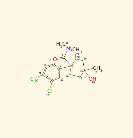 CN(C)C(=O)C1(c2ccc(Cl)c(Cl)c2)CCC(C)(O)CC1I